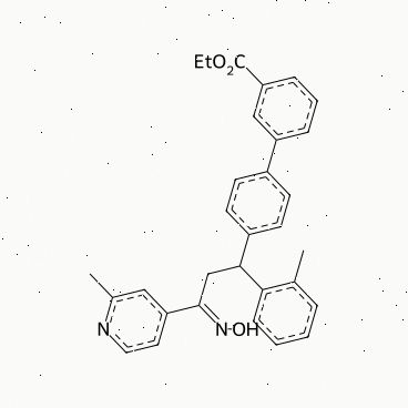 CCOC(=O)c1cccc(-c2ccc(C(C/C(=N\O)c3ccnc(C)c3)c3ccccc3C)cc2)c1